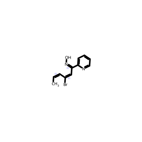 C\C=C/C(Br)=C\C(=N\O)c1ccccn1